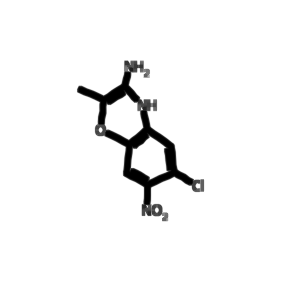 CC1=C(N)Nc2cc(Cl)c([N+](=O)[O-])cc2O1